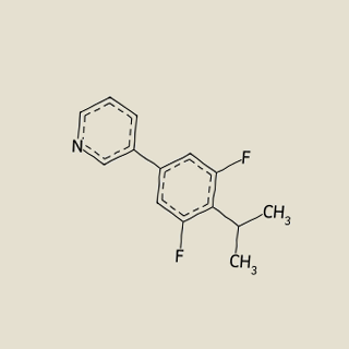 CC(C)c1c(F)cc(-c2cccnc2)cc1F